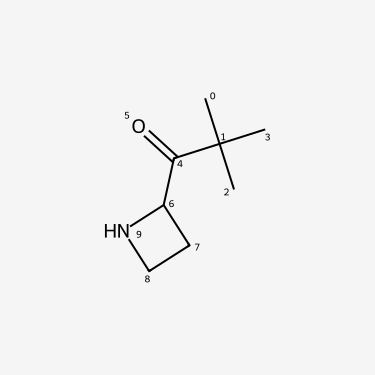 CC(C)(C)C(=O)C1CCN1